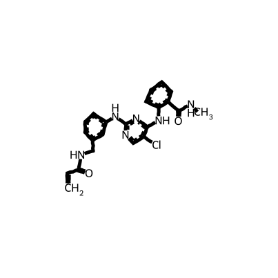 C=CC(=O)NCc1cccc(Nc2ncc(Cl)c(Nc3ccccc3C(=O)NC)n2)c1